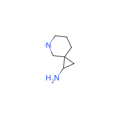 NC1CC12CCC[N]C2